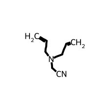 C=CCN(CC#N)CC=C